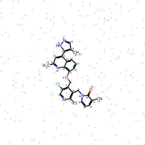 CCc1ncc(F)c(COc2cccc3c(-c4[nH]ncc4C)cc(C)nc23)c1Cn1cccc(C#N)c1=O